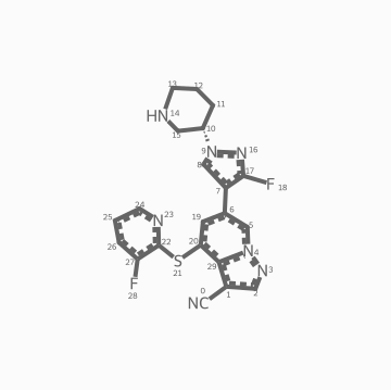 N#Cc1cnn2cc(-c3cn([C@H]4CCCNC4)nc3F)cc(Sc3ncccc3F)c12